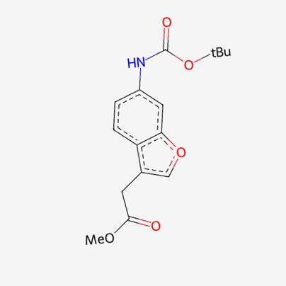 COC(=O)Cc1coc2cc(NC(=O)OC(C)(C)C)ccc12